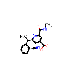 CNC(=O)c1cc(C(=O)O)cc(C(C)c2ccccc2C#N)n1